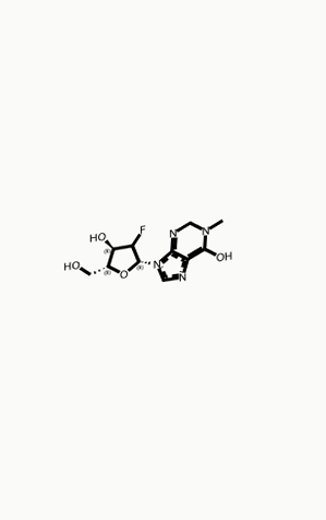 CN1CN=c2c(ncn2[C@@H]2O[C@H](CO)[C@@H](O)C2F)=C1O